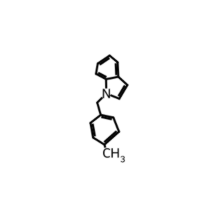 Cc1ccc(Cn2ccc3ccccc32)cc1